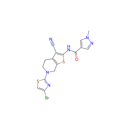 Cn1cc(C(=O)Nc2sc3c(c2C#N)CCN(c2nc(Br)cs2)C3)cn1